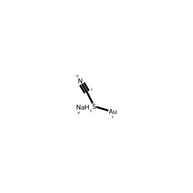 N#C[S][Au].[NaH]